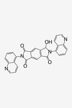 O=C1c2cc3c(cc2C(=O)N1c1cccc2ncccc12)C(O)N(c1cccc2ncccc12)C3=O